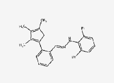 CC1=C(C)C(C)=C(c2ccccc2/C=N/Nc2c(C(C)C)cccc2C(C)C)C1